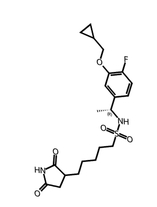 C[C@@H](NS(=O)(=O)CCCCCC1CC(=O)NC1=O)c1ccc(F)c(OCC2CC2)c1